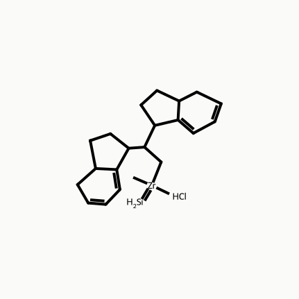 Cl.[CH3][Zr]([CH3])(=[SiH2])[CH2]C(C1CCC2CC=CC=C21)C1CCC2CC=CC=C21